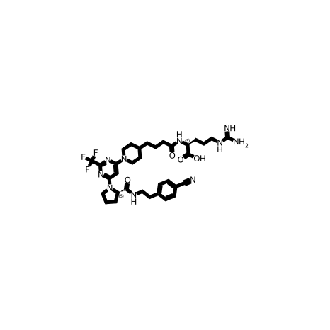 N#Cc1ccc(CCNC(=O)[C@@H]2CCCN2c2cc(N3CCC(CCCC(=O)N[C@@H](CCCNC(=N)N)C(=O)O)CC3)nc(C(F)(F)F)n2)cc1